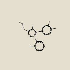 O=C(O)CSc1nn(-c2ccccc2F)c(-c2ccc(F)c(F)c2)c1Br